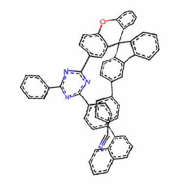 N#Cc1ccc(-c2ccc3c(c2)-c2ccccc2C32c3ccccc3Oc3ccc(-c4nc(-c5ccccc5)nc(-c5ccc(-c6cccc7ccccc67)cc5)n4)cc32)cc1